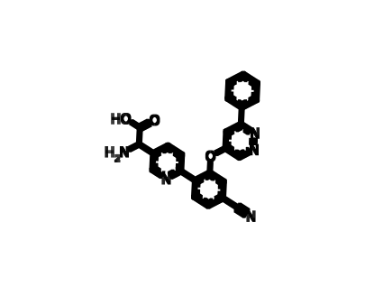 N#Cc1ccc(-c2ccc(C(N)C(=O)O)cn2)c(Oc2cnnc(-c3ccccc3)c2)c1